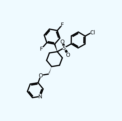 O=S(=O)(c1ccc(Cl)cc1)[C@]1(c2cc(F)ccc2F)CC[C@H](COc2cccnc2)CC1